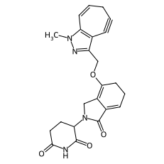 Cn1nc(COC2=C3CN(C4CCC(=O)NC4=O)C(=O)C3=CCC2)c2c1C=CCC#C2